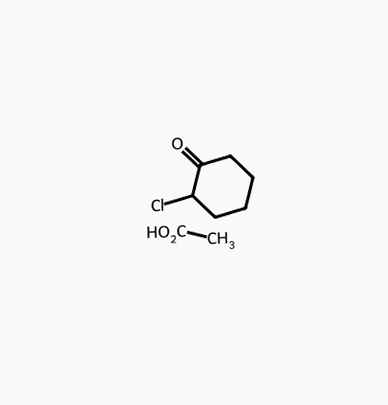 CC(=O)O.O=C1CCCCC1Cl